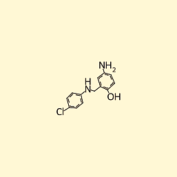 Nc1ccc(O)c(CNc2ccc(Cl)cc2)c1